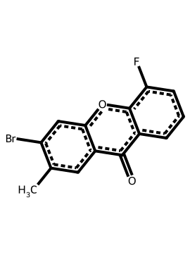 Cc1cc2c(=O)c3cccc(F)c3oc2cc1Br